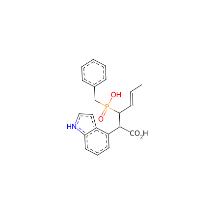 CC=CC(C(C(=O)O)c1cccc2[nH]ccc12)P(=O)(O)Cc1ccccc1